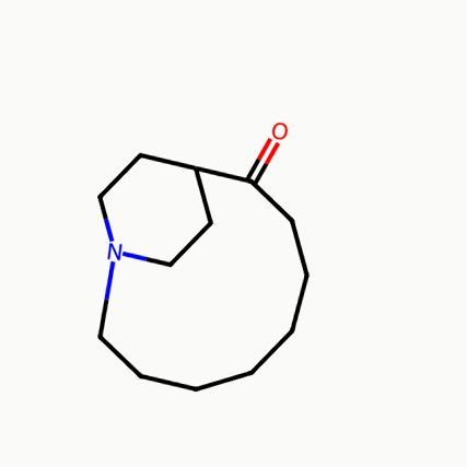 O=C1CCCCCCCN2CCC1CC2